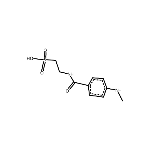 CNc1ccc(C(=O)NCCS(=O)(=O)O)cc1